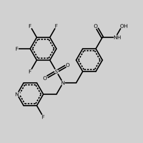 O=C(NO)c1ccc(CN(Cc2ccncc2F)S(=O)(=O)c2cc(F)c(F)c(F)c2F)cc1